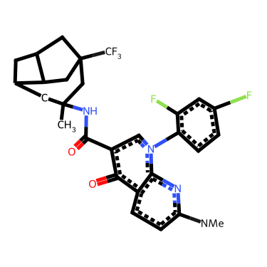 CNc1ccc2c(=O)c(C(=O)NC3(C)CC4CC5CC(C(F)(F)F)(CC45)C3)cn(-c3ccc(F)cc3F)c2n1